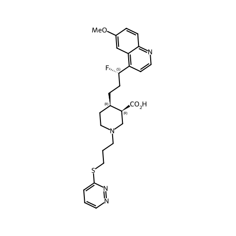 COc1ccc2nccc([C@@H](F)CC[C@@H]3CCN(CCCSc4cccnn4)C[C@@H]3C(=O)O)c2c1